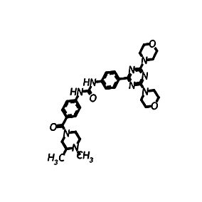 CC1CN(C(=O)c2ccc(NC(=O)Nc3ccc(-c4nc(N5CCOCC5)nc(N5CCOCC5)n4)cc3)cc2)CCN1C